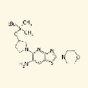 CC(C)(C)[Si](C)(C)OC1CCN(c2nc3nc(N4CCOCC4)sc3cc2N)C1